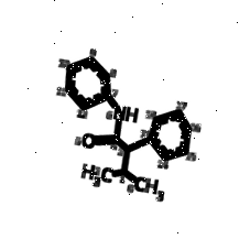 CC(C)C(C(=O)Nc1ccccc1)c1ccccc1